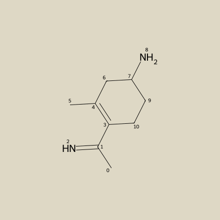 CC(=N)C1=C(C)CC(N)CC1